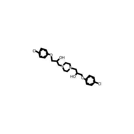 OC(COc1ccc(Cl)cc1)CN1CCN(CC(O)COc2ccc(Cl)cc2)CC1